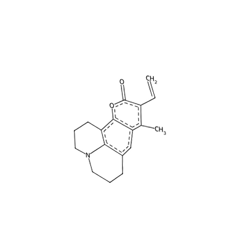 C=Cc1c(C)c2cc3c4c(c2oc1=O)CCCN4CCC3